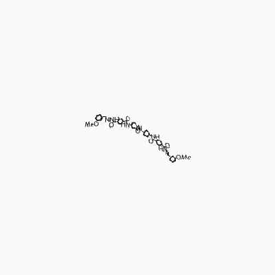 COc1cccc(C=NNC(=O)c2ccc(C(=O)Nc3ccc(-c4nc5ccc(NC(=O)c6ccc(C(=O)NN=Cc7cccc(OC)c7)cc6)cc5o4)cc3)cc2)c1